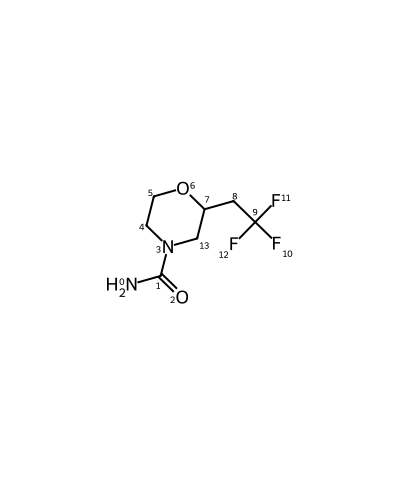 NC(=O)N1CCOC(CC(F)(F)F)C1